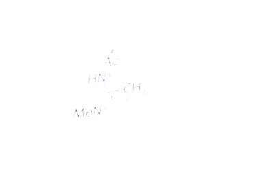 CNC(C)NC(C)=O